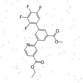 CCOC(=O)c1ccnc(-c2cc(C(=O)OC)cc(-c3cc(F)c(F)c(F)c3F)c2)c1